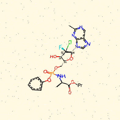 Cc1ncc2ncn([C@@H]3O[C@H](COP(=O)(NC(C)C(=O)OC(C)C)Oc4ccccc4)[C@@H](O)[C@]3(F)Cl)c2n1